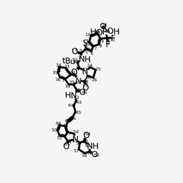 CC(C)(C)[C@H](NC(=O)c1cc2cc(C(F)(F)P(=O)(O)O)ccc2s1)C(=O)N1CCC[C@H]1C(=O)N1Cc2ccccc2CC1C(=O)NCCCC#Cc1cccc2c1CN(C1CCC(=O)NC1=O)C2=O